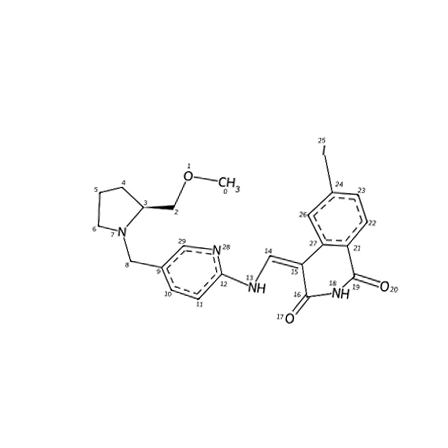 COC[C@@H]1CCCN1Cc1ccc(N/C=C2\C(=O)NC(=O)c3ccc(I)cc32)nc1